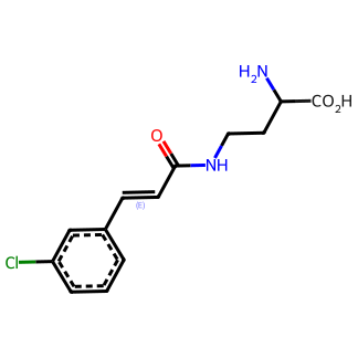 NC(CCNC(=O)/C=C/c1cccc(Cl)c1)C(=O)O